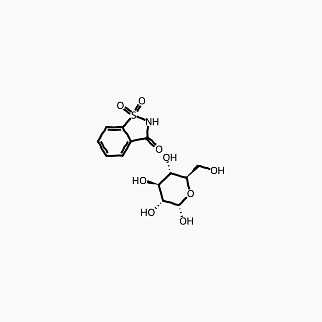 O=C1NS(=O)(=O)c2ccccc21.OC[C@H]1O[C@H](O)[C@H](O)[C@@H](O)[C@@H]1O